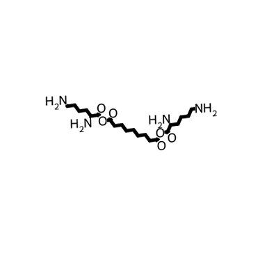 NCCCC[C@H](N)C(=O)OC(=O)CCCCCCCC(=O)OC(=O)[C@@H](N)CCCCN